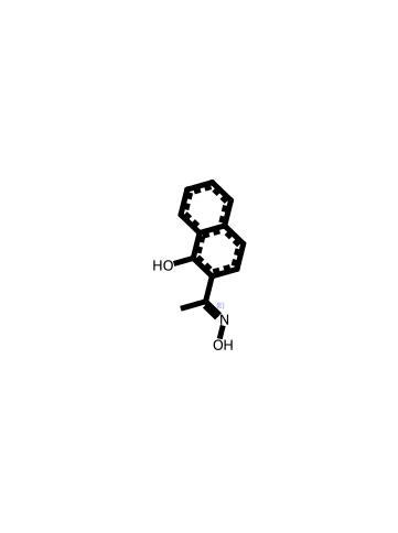 C/C(=N\O)c1ccc2ccccc2c1O